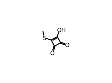 CSc1c(O)c(=O)c1=O